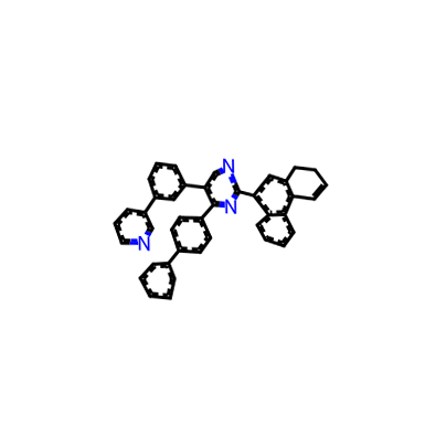 C1=Cc2c(cc(-c3ncc(-c4cccc(-c5cccnc5)c4)c(-c4ccc(-c5ccccc5)cc4)n3)c3ccccc23)CC1